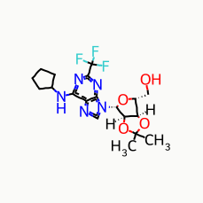 CC1(C)O[C@@H]2[C@H](O1)[C@@H](CO)O[C@H]2n1cnc2c(NC3CCCC3)nc(C(F)(F)F)nc21